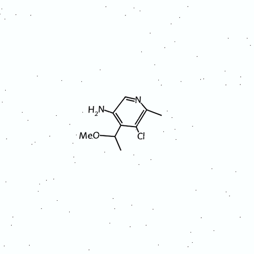 COC(C)c1c(N)cnc(C)c1Cl